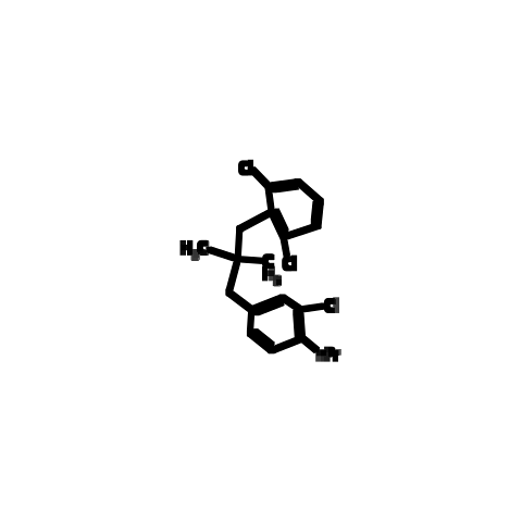 CCCc1ccc(CC(C)(C)Cc2c(Cl)cccc2Cl)cc1Cl